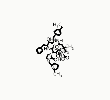 CCc1ccc(CN(CC(O)C(Cc2ccccc2)NC(=O)C(C(C)CC)N2CCN(Cc3cccc(C)n3)C2=O)NC(=O)CC(C)(C)CNC(=O)O)cc1